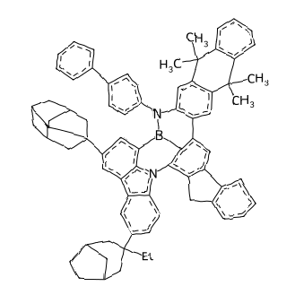 CCC1(c2ccc3c(c2)c2cc(C45CC6CC(CC(C6)C4)C5)cc4c2n3-c2c3c(cc5c2B4N(c2ccc(-c4ccccc4)cc2)c2cc4c(cc2-5)C(C)(C)c2ccccc2C4(C)C)-c2ccccc2C3)CC2CCC(C2)C1